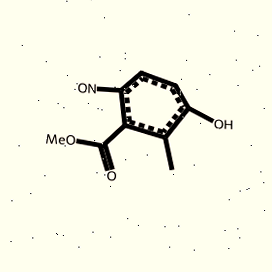 COC(=O)c1c(N=O)ccc(O)c1C